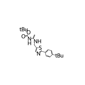 C=C(NCc1cnc(-c2ccc(C(C)(C)C)cc2)s1)NC(=O)OC(C)(C)C